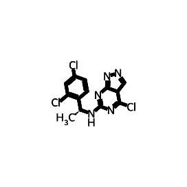 C[C@@H](NC1=NC2=NN=CC2C(Cl)=N1)c1ccc(Cl)cc1Cl